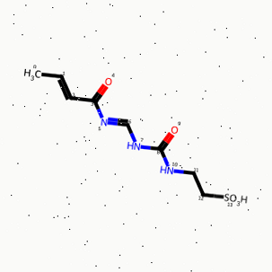 C/C=C/C(=O)/N=C/NC(=O)NCCS(=O)(=O)O